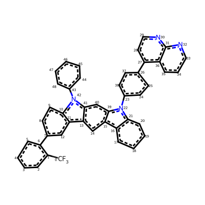 FC(F)(F)c1ccccc1-c1ccc2c(c1)c1cc3c4ccccc4n(-c4ccc(-c5ccnc6ncccc56)cc4)c3cc1n2-c1ccccc1